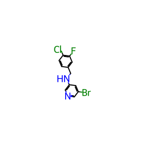 Fc1cc(CNc2cncc(Br)c2)ccc1Cl